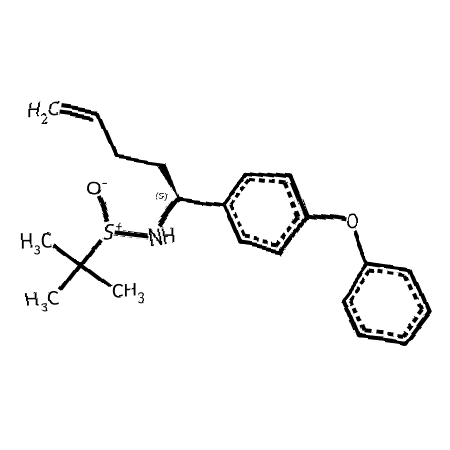 C=CCC[C@H](N[S+]([O-])C(C)(C)C)c1ccc(Oc2ccccc2)cc1